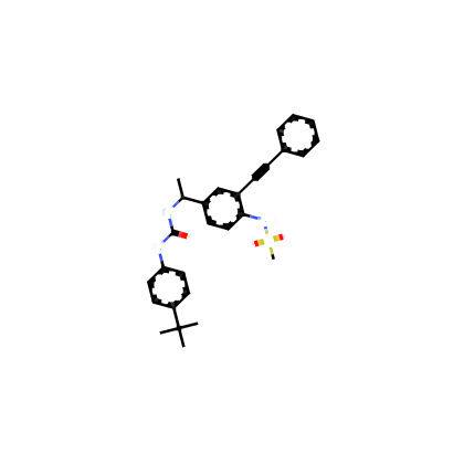 CC(NC(=O)Nc1ccc(C(C)(C)C)cc1)c1ccc(NS(C)(=O)=O)c(C#Cc2ccccc2)c1